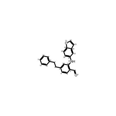 O=Cc1ccc(CCc2ccccc2)cc1Nc1ccc2occc2c1